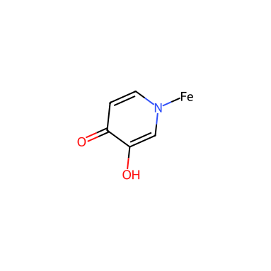 O=c1cc[n]([Fe])cc1O